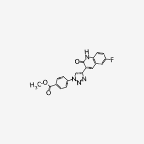 COC(=O)c1ccc(-n2cc(-c3cc4cc(F)ccc4[nH]c3=O)nn2)cc1